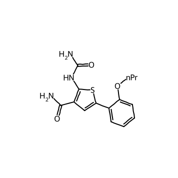 CCCOc1ccccc1-c1cc(C(N)=O)c(NC(N)=O)s1